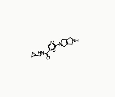 O=C(NCC1CC1)c1cnc(N2CC3=C(CNC3)C2)s1